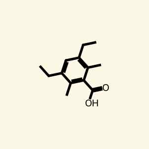 CCc1cc(CC)c(C)c(C(=O)O)c1C